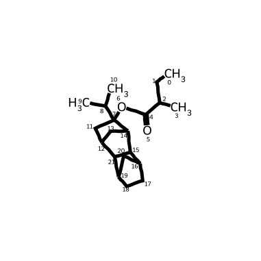 CCC(C)C(=O)OC1(C(C)C)CC2CC1C1C3CCC(C3)C21